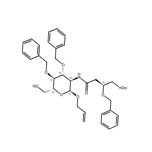 C=CCO[C@H]1O[C@H](CO)[C@@H](OCc2ccccc2)[C@H](OCc2ccccc2)[C@H]1NC(=O)C[C@@H](CCCCCCCCCCC)OCc1ccccc1